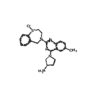 Cc1ccc2nc(N3CC[S+]([O-])c4ccccc4C3)nc(N3CC[C@@H](N)C3)c2c1